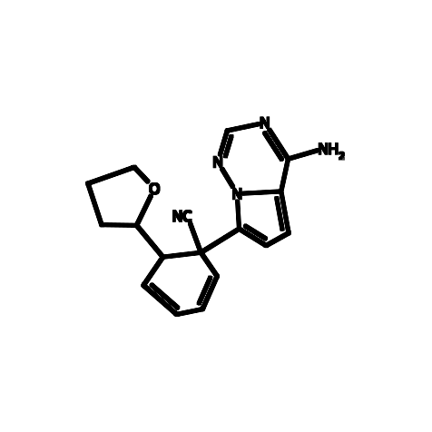 N#CC1(c2ccc3c(N)ncnn23)C=CC=CC1C1CCCO1